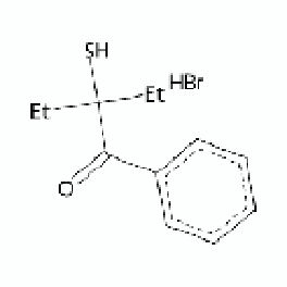 Br.CCC(S)(CC)C(=O)c1ccccc1